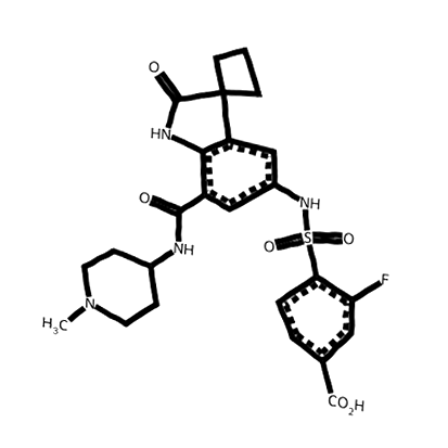 CN1CCC(NC(=O)c2cc(NS(=O)(=O)c3ccc(C(=O)O)cc3F)cc3c2NC(=O)C32CCC2)CC1